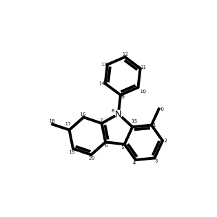 Cc1cccc2c3c(n(-c4ccccc4)c12)CC(C)C=C3